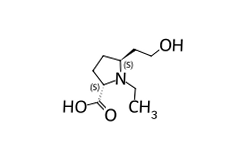 CCN1[C@H](CCO)CC[C@H]1C(=O)O